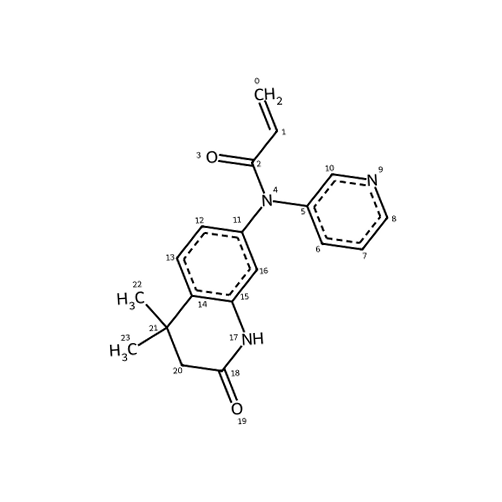 C=CC(=O)N(c1cccnc1)c1ccc2c(c1)NC(=O)CC2(C)C